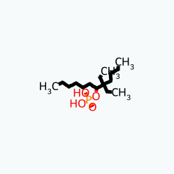 CCCCCCC(OP(=O)(O)O)C(CC)(CC)CCCC